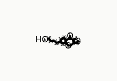 O=C1c2cscc2COc2cc(CCCCO)ccc21